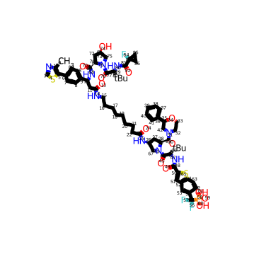 Cc1ncsc1-c1ccc(C(CC(=O)NCCCCCCCCC(=O)N[C@H]2C[C@@H](C(=O)N3CCOC(c4ccccc4)C3)N(C(=O)C(NC(=O)c3cc4cc(C(F)(F)P(=O)(O)O)ccc4s3)C(C)(C)C)C2)NC(=O)[C@@H]2C[C@@H](O)CN2C(=O)C(NC(=O)C2(F)CC2)C(C)(C)C)cc1